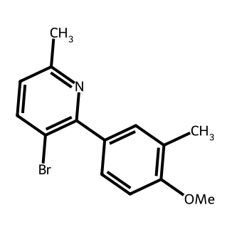 COc1ccc(-c2nc(C)ccc2Br)cc1C